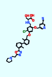 Cc1c(COc2cc(OCc3cncc(C#N)c3)c(CNC(CO)C(=O)O)cc2Cl)cccc1-c1cccc(-c2nnc(CCN3CCCC3)o2)c1C